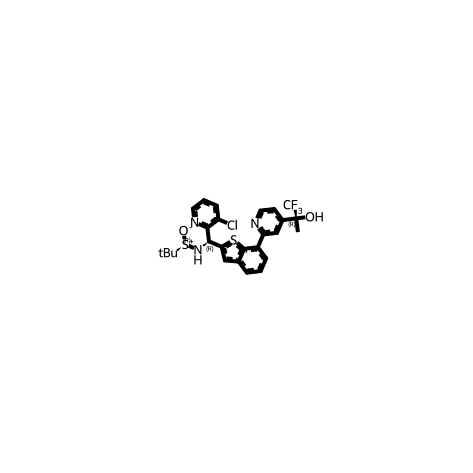 CC(C)(C)[S@+]([O-])N[C@@H](c1cc2cccc(-c3cc([C@@](C)(O)C(F)(F)F)ccn3)c2s1)c1ncccc1Cl